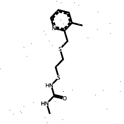 CNC(=O)NSCCSCc1ncccc1C